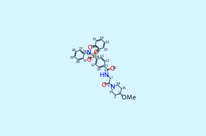 COC1CCN(C(=O)CNC(=O)c2ccc(S(=O)(=O)N(Oc3ccccc3)c3ccccc3)cc2)CC1